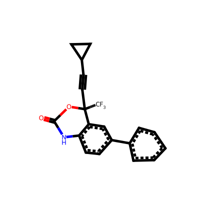 O=C1Nc2ccc(-c3ccccc3)cc2C(C#CC2CC2)(C(F)(F)F)O1